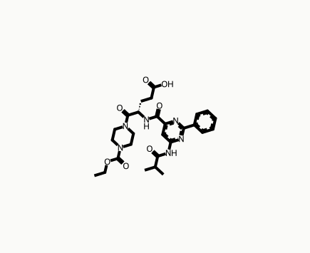 CCOC(=O)N1CCN(C(=O)[C@H](CCC(=O)O)NC(=O)c2cc(NC(=O)C(C)C)nc(-c3ccccc3)n2)CC1